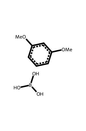 COc1cccc(OC)c1.OB(O)O